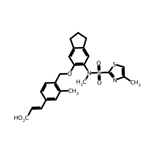 Cc1csc(S(=O)(=O)N(C)c2cc3c(cc2OCc2ccc(/C=C/C(=O)O)cc2C)CCC3)n1